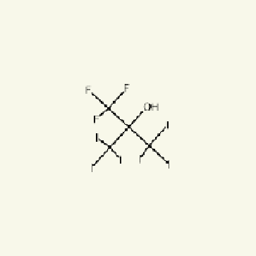 OC(C(F)(F)F)(C(I)(I)I)C(I)(I)I